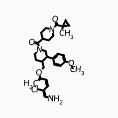 C=C(/C=C\C(Cl)=C/N)OCC1CCN(C(=O)C2CCN(C(=O)C3(C)CC3)CC2)CC1c1ccc(OC)cc1